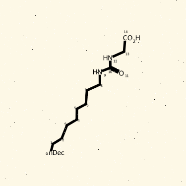 CCCCCCCCCCCCCCCCCCNC(=O)NCC(=O)O